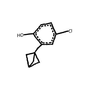 Oc1ccc(Cl)cc1C12CC(C1)C2